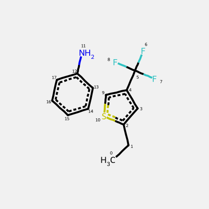 CCc1cc(C(F)(F)F)cs1.Nc1ccccc1